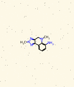 CN1Cc2nn(C)nc2-c2cccc(N)c21